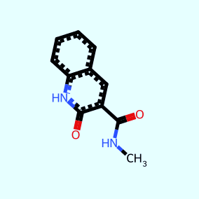 CNC(=O)c1cc2ccccc2[nH]c1=O